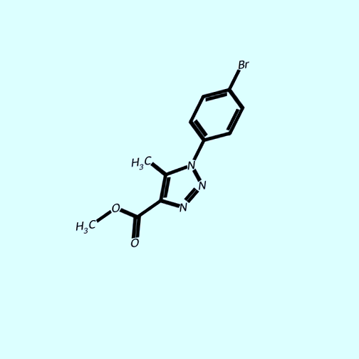 COC(=O)c1nnn(-c2ccc(Br)cc2)c1C